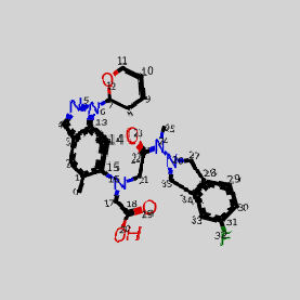 Cc1cc2cnn(C3CCCCO3)c2cc1N(CC(=O)O)CC(=O)N(C)N1Cc2ccc(F)cc2C1